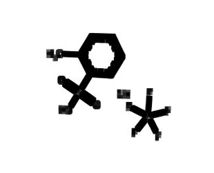 Cc1ccccc1S(=O)(=O)O.FP(F)(F)(F)F.[LiH]